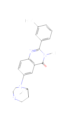 Cc1cccc(-c2nc3ccc(N4CCN5CCC4CC5)cc3c(=O)n2C)c1